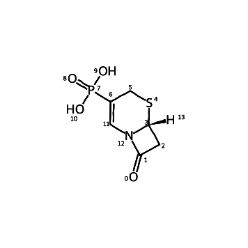 O=C1C[C@H]2SCC(P(=O)(O)O)=CN12